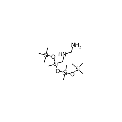 C[Si](C)(C)O[Si](C)(C)O[Si](C)(CNCN)O[Si](C)(C)C